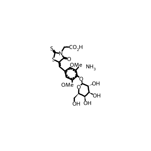 COc1cc(C=C2SC(=S)N(CC(=O)O)C2=O)cc(OC)c1O[C@@H]1O[C@H](CO)[C@H](O)[C@H](O)[C@H]1O.N